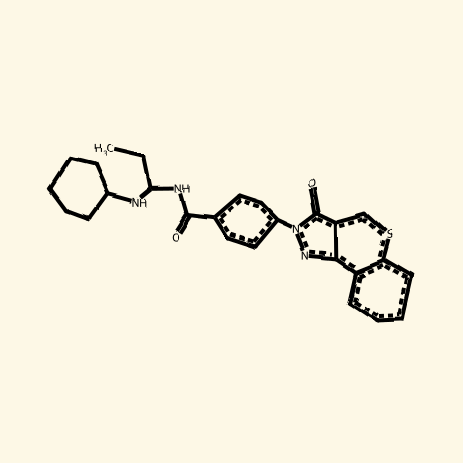 CCC(NC(=O)c1ccc(-n2nc3c4ccccc4scc-3c2=O)cc1)NC1CCCCC1